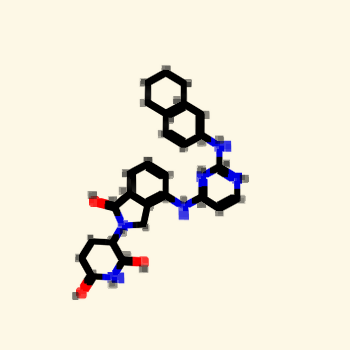 O=C1CCC(N2Cc3c(Nc4ccnc(Nc5ccc6c(c5)CCCC6)n4)cccc3C2=O)C(=O)N1